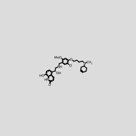 COc1cc(OCCCCN(C)C2CC#CCC2)c(Cl)cc1CNC[C@H](O)c1ccc(O)c2[nH]c(=O)ccc12